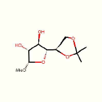 CO[C@H]1O[C@@H]([C@H]2COC(C)(C)O2)[C@H](O)[C@H]1O